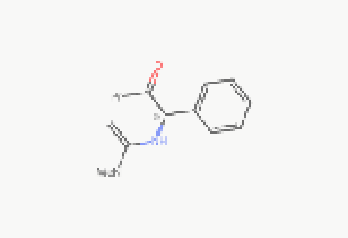 C=C(NC)N[C@@H](C(=O)C(C)C)c1ccccc1